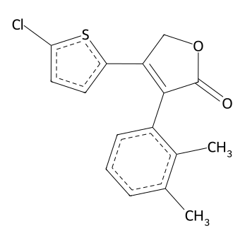 Cc1cccc(C2=C(c3ccc(Cl)s3)COC2=O)c1C